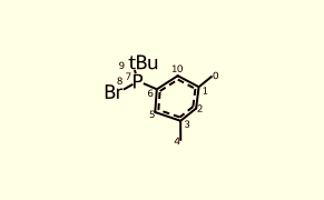 Cc1cc(C)cc(P(Br)C(C)(C)C)c1